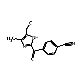 Cc1nc(C(=O)c2ccc(C#N)cc2)[nH]c1CO